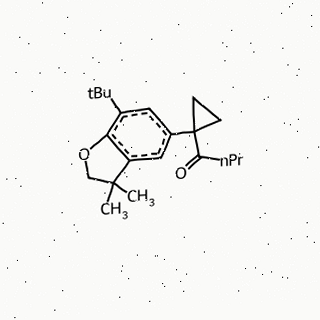 CCCC(=O)C1(c2cc(C(C)(C)C)c3c(c2)C(C)(C)CO3)CC1